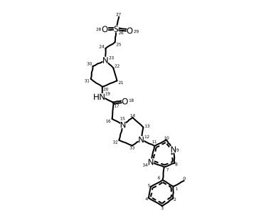 Cc1ccccc1-c1cncc(N2CCN(CC(=O)NC3CCN(CCS(C)(=O)=O)CC3)CC2)n1